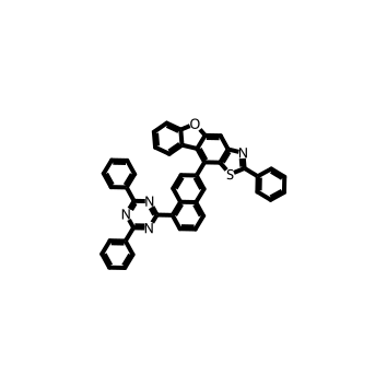 c1ccc(-c2nc(-c3ccccc3)nc(-c3cccc4cc(-c5c6sc(-c7ccccc7)nc6cc6oc7ccccc7c56)ccc34)n2)cc1